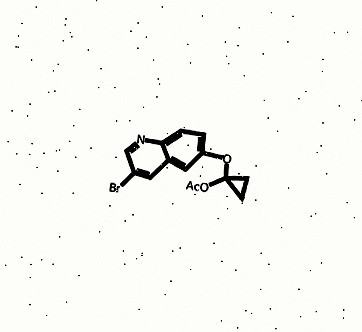 CC(=O)OC1(Oc2ccc3ncc(Br)cc3c2)CC1